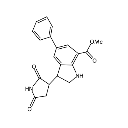 COC(=O)c1cc(-c2ccccc2)cc2c1NCC2C1CC(=O)NC1=O